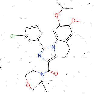 COc1cc2c(cc1OC(C)C)-n1c(-c3cccc(Cl)c3)nc(C(=O)N3CCOCC3(C)C)c1CC2